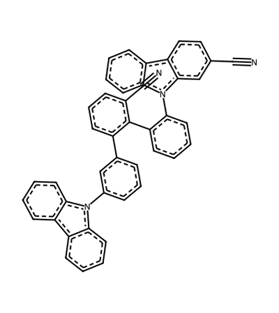 N#Cc1ccc2c3ccccc3n(-c3ccccc3-c3c(C#N)cccc3-c3cccc(-n4c5ccccc5c5ccccc54)c3)c2c1